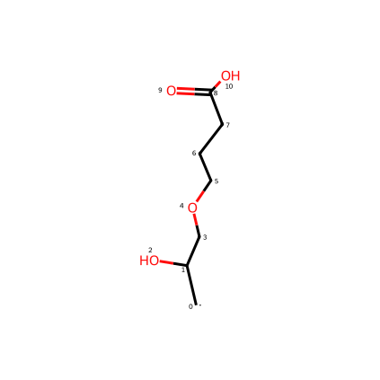 [CH2]C(O)COCCCC(=O)O